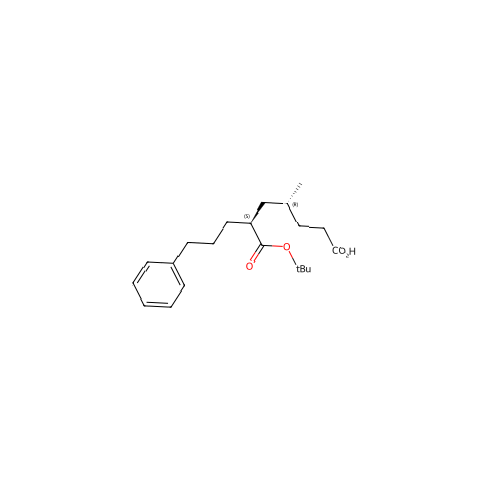 C[C@H](CCC(=O)O)C[C@H](CCCc1ccccc1)C(=O)OC(C)(C)C